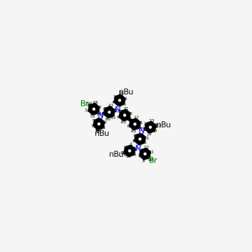 CCCCc1ccc(N(c2ccc(Br)cc2)c2ccc(N(c3ccc(CCCC)cc3)c3ccc(-c4ccc(N(c5ccc(CCCC)cc5)c5ccc(N(c6ccc(Br)cc6)c6ccc(CCCC)cc6)cc5)cc4)cc3)cc2)cc1